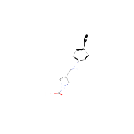 C#Cc1ccc(NCC2CN(C(=O)O)C2)cc1